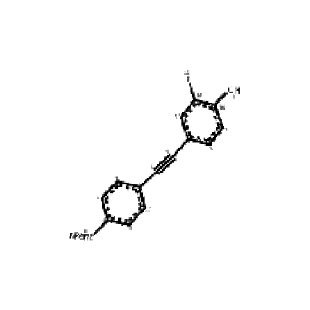 CCCCCc1ccc(C#Cc2ccc(C#N)c(F)c2)cc1